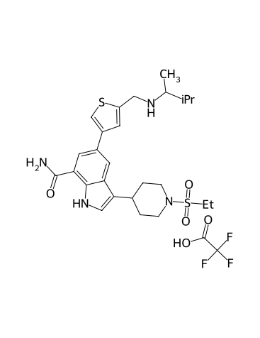 CCS(=O)(=O)N1CCC(c2c[nH]c3c(C(N)=O)cc(-c4csc(CNC(C)C(C)C)c4)cc23)CC1.O=C(O)C(F)(F)F